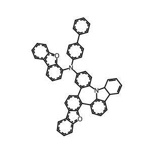 C1=CC2c3cccc4c3N(c3ccc(N(c5ccc(-c6ccccc6)cc5)c5cccc6c5oc5ccccc56)cc3-c3ccc5c(oc6ccccc65)c3-4)C2C=C1